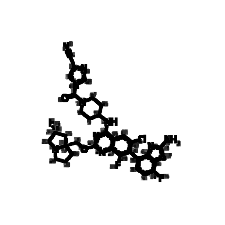 N#Cc1cn(C(=O)N2CCC(Nc3nc(OC[C@@]45CCCN4C[C@H](F)C5)nc4c(F)c(-c5ccc(F)c6sc(N)nc56)c(Cl)cc34)CC2)cn1